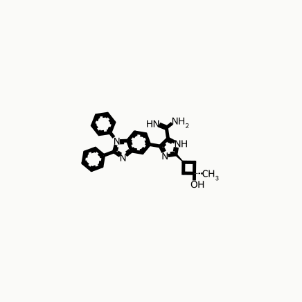 C[C@]1(O)C[C@@H](c2nc(-c3ccc4c(c3)nc(-c3ccccc3)n4-c3ccccc3)c(C(=N)N)[nH]2)C1